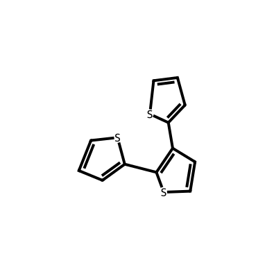 c1csc(-c2ccsc2-c2cccs2)c1